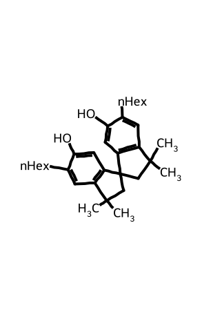 CCCCCCc1cc2c(cc1O)C1(CC2(C)C)CC(C)(C)c2cc(CCCCCC)c(O)cc21